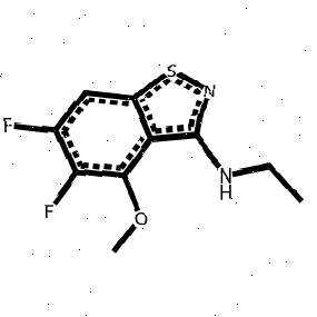 CCNc1nsc2cc(F)c(F)c(OC)c12